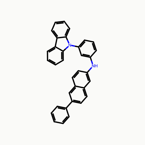 c1ccc(-c2ccc3cc(Nc4cccc(-n5c6ccccc6c6ccccc65)c4)ccc3c2)cc1